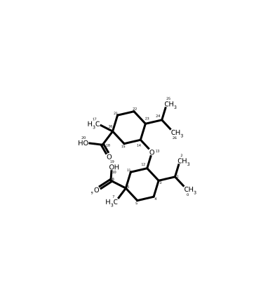 CC(C)C1CCC(C)(C(=O)O)CC1OC1CC(C)(C(=O)O)CCC1C(C)C